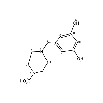 O=C(O)N1CCN(Cc2cc(O)cc(O)c2)CC1